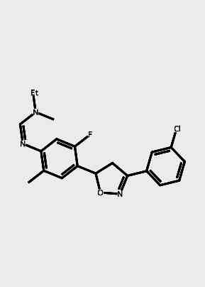 CCN(C)/C=N\c1cc(F)c(C2CC(c3cccc(Cl)c3)=NO2)cc1C